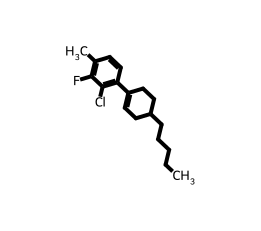 CCCCCC1CC=C(c2ccc(C)c(F)c2Cl)CC1